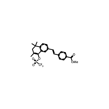 COC(=O)c1ccc(C=Cc2ccc3c(c2)C(OS(=O)(=O)C(F)(F)F)=C(C)CC3(C)C)cc1